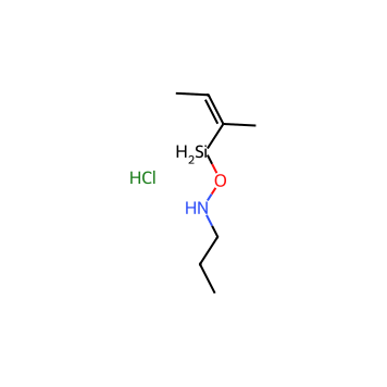 CC=C(C)[SiH2]ONCCC.Cl